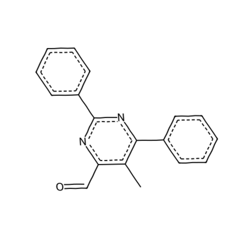 Cc1c(C=O)nc(-c2ccccc2)nc1-c1ccccc1